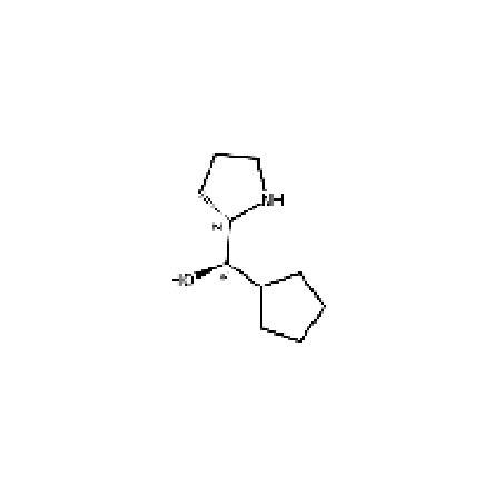 O[C@H](C1CCCC1)[C@@H]1CCCN1